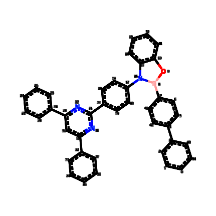 c1ccc(-c2ccc(B3Oc4ccccc4N3c3ccc(-c4nc(-c5ccccc5)cc(-c5ccccc5)n4)cc3)cc2)cc1